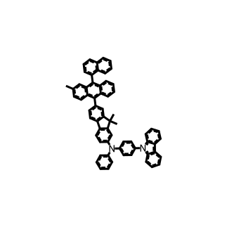 Cc1ccc2c(-c3ccc4c(c3)C(C)(C)c3cc(N(c5ccccc5)c5ccc(-n6c7ccccc7c7ccccc76)cc5)ccc3-4)c3ccccc3c(-c3cccc4ccccc34)c2c1